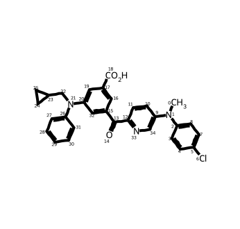 CN(c1ccc(Cl)cc1)c1ccc(C(=O)c2cc(C(=O)O)cc(N(CC3CC3)c3ccccc3)c2)nc1